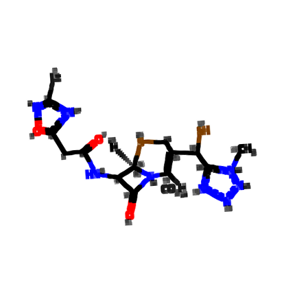 CCc1noc(CC(=O)NC2C(=O)N3C(C(=O)O)=C(C(S)c4nnnn4C)CS[C@H]23)n1